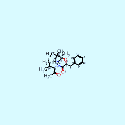 CC(=O)[C@@H](NC(=O)[C@H](Cc1ccccc1)O[Si](C)(C)C(C)(C)C)C(C)C